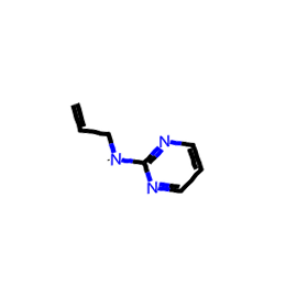 C=CC[N]c1ncccn1